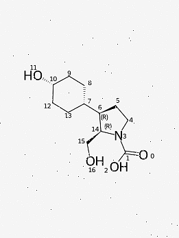 O=C(O)N1CC[C@H]([C@H]2CC[C@@H](O)CC2)[C@@H]1CO